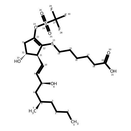 CCCC[C@@H](C)C[C@H](O)/C=C/[C@@H]1C(SCCCCCC(=O)O)=C(OS(=O)(=O)C(F)(F)F)C[C@H]1O